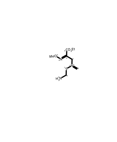 C=[N+](C/C(=N/OC)C(=O)OCC)SCN